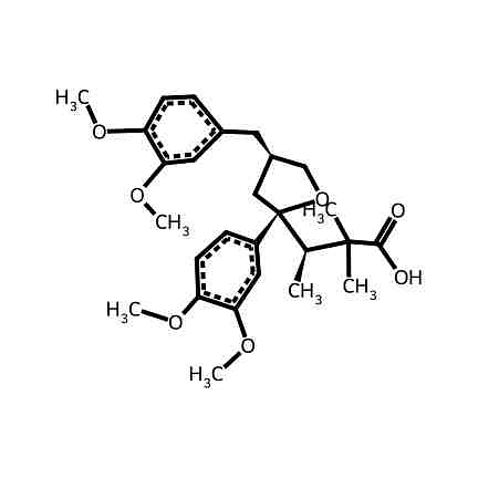 COc1ccc(C[C@H]2CO[C@](c3ccc(OC)c(OC)c3)([C@H](C)C(C)(C)C(=O)O)C2)cc1OC